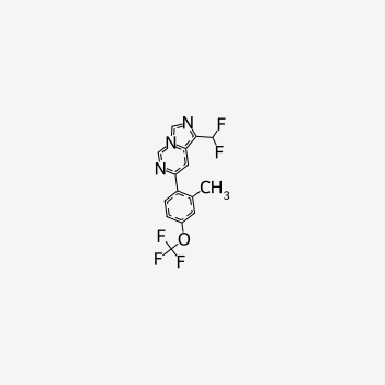 Cc1cc(OC(F)(F)F)ccc1-c1cc2c(C(F)F)ncn2cn1